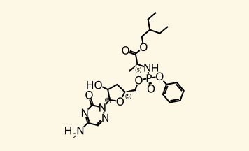 CCC(CC)COC(=O)[C@H](C)NP(=O)(OC[C@@H]1CC(O)[C@H](n2ncc(N)nc2=O)O1)Oc1ccccc1